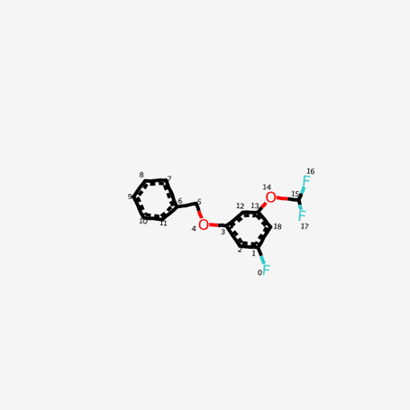 Fc1cc(OCc2ccccc2)cc(OC(F)F)c1